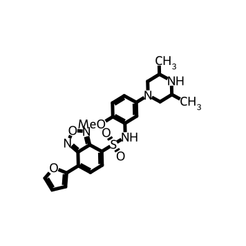 COc1ccc(N2CC(C)NC(C)C2)cc1NS(=O)(=O)c1ccc(-c2ccco2)c2nonc12